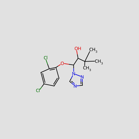 CC(C)(C)C(O)C(Oc1ccc(Cl)cc1Cl)n1cncn1